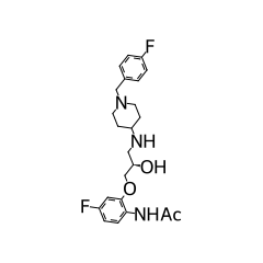 CC(=O)Nc1ccc(F)cc1OC[C@H](O)CNC1CCN(Cc2ccc(F)cc2)CC1